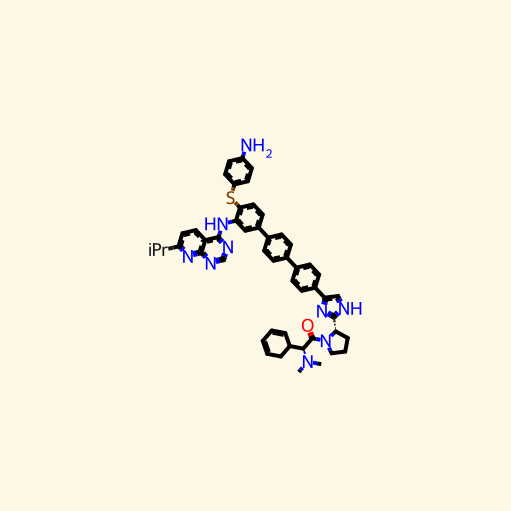 CC(C)c1ccc2c(Nc3cc(-c4ccc(-c5ccc(-c6c[nH]c([C@@H]7CCCN7C(=O)[C@@H](C7C=CC=CC7)N(C)C)n6)cc5)cc4)ccc3Sc3ccc(N)cc3)ncnc2n1